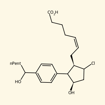 CCCCCC(O)c1ccc(C2[C@@H](C/C=C\CCCC(=O)O)C(Cl)C[C@H]2O)cc1